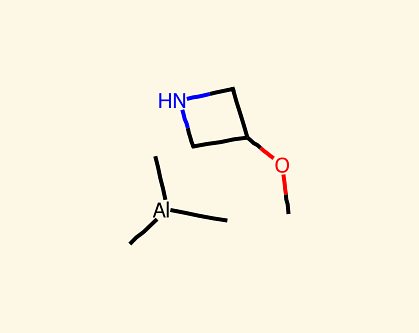 COC1CNC1.[CH3][Al]([CH3])[CH3]